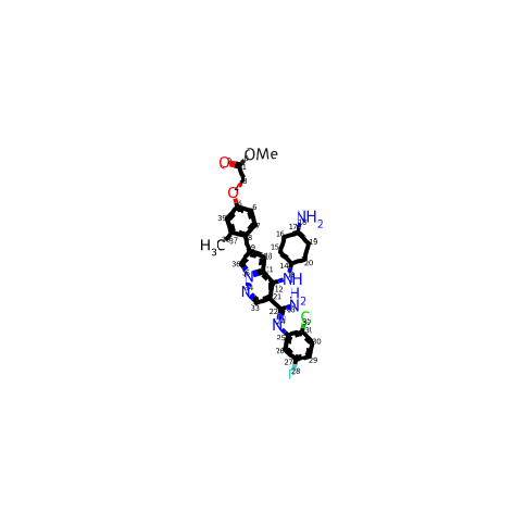 COC(=O)COc1ccc(-c2cc3c(NC4CCC(N)CC4)c(/C(N)=N/c4cc(F)ccc4Cl)cnn3c2)c(C)c1